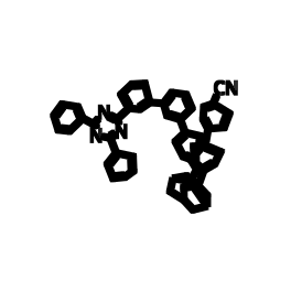 N#Cc1ccc(-c2ccc(C34CC5CC(C3)C(Cc3ccc(-c6cccc(-c7cccc(-c8nc(-c9ccccc9)nc(-c9ccccc9)n8)c7)c6)cc3)C(C5)C4)cc2)cc1